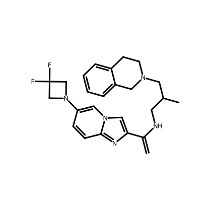 C=C(NCC(C)CN1CCc2ccccc2C1)c1cn2cc(N3CC(F)(F)C3)ccc2n1